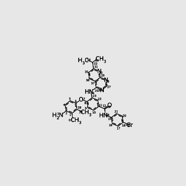 Cc1c(N)ccc(Oc2ccc(C(=O)Nc3ccc(Br)cc3)cc2Nc2ncnc3nc(C(C)C)ccc23)c1C